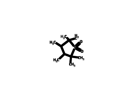 CC1C(C)C(C)(C)S(=O)(=O)C1(C)C